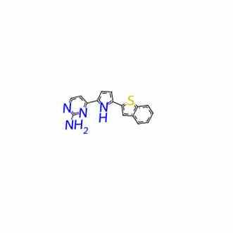 Nc1nccc(-c2ccc(-c3cc4ccccc4s3)[nH]2)n1